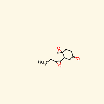 O=C(O)CC1OC1C1CC(=O)CC[C@]12CO2